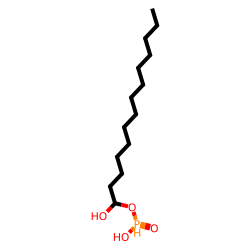 CCCCCCCCCCCCCC(O)O[PH](=O)O